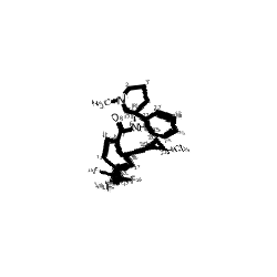 CN1CCC[C@@](NC(=O)c2ccc(C(F)(F)F)cc2C2CC2)(c2ccccc2)C1.Cl